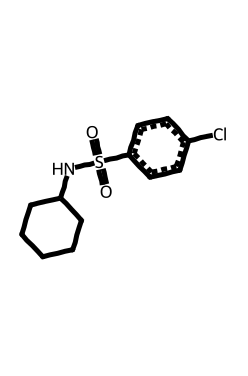 O=S(=O)(NC1CCCCC1)c1ccc(Cl)cc1